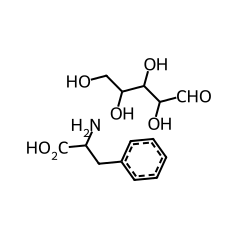 NC(Cc1ccccc1)C(=O)O.O=CC(O)C(O)C(O)CO